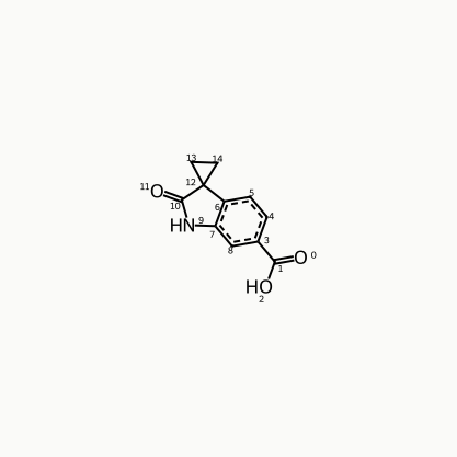 O=C(O)c1ccc2c(c1)NC(=O)C21CC1